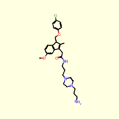 COc1ccc2c(c1)C(CC(=O)NCCCN1CCN(CCCN)CC1)=C(C)C2COc1ccc(Cl)cc1